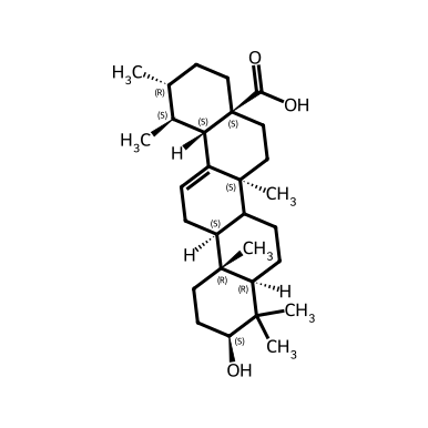 C[C@H]1[C@H](C)CC[C@]2(C(=O)O)CC[C@]3(C)C(=CC[C@H]4C3CC[C@H]3C(C)(C)[C@@H](O)CC[C@]43C)[C@H]12